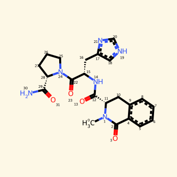 CN1C(=O)c2ccccc2C[C@H]1C(=O)N[C@@H](Cc1c[nH]cn1)C(=O)N1CCC[C@H]1C(N)=O